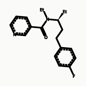 CC[C@H](CCc1ccc(F)cc1)N(CC)C(=O)c1cccnc1